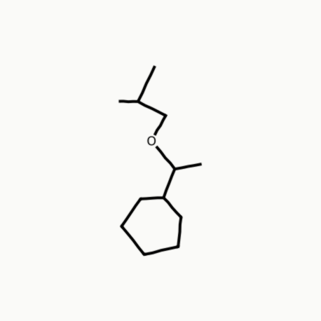 CC(C)COC(C)C1CCCCC1